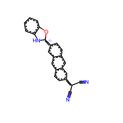 N#CC(C#N)=c1ccc2cc3c/c(=C4\Nc5ccccc5O4)ccc3cc2c1